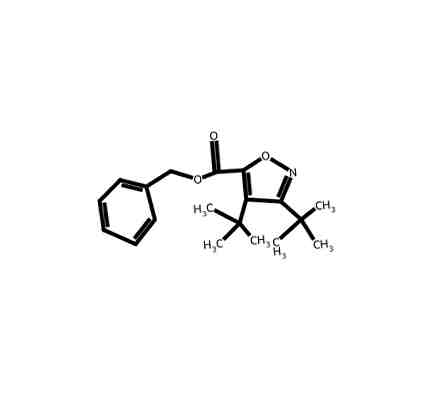 CC(C)(C)c1noc(C(=O)OCc2ccccc2)c1C(C)(C)C